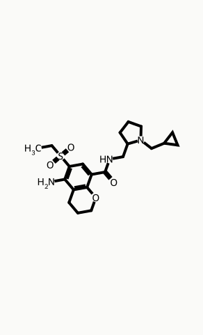 CCS(=O)(=O)c1cc(C(=O)NCC2CCCN2CC2CC2)c2c(c1N)CCCO2